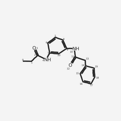 CCC(=O)Nc1cccc(NC(=O)Cc2ccccc2)c1